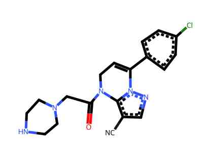 N#Cc1cnn2c1N(C(=O)CN1CCNCC1)CC=C2c1ccc(Cl)cc1